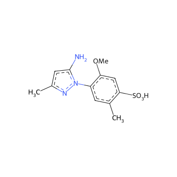 COc1cc(S(=O)(=O)O)c(C)cc1-n1nc(C)cc1N